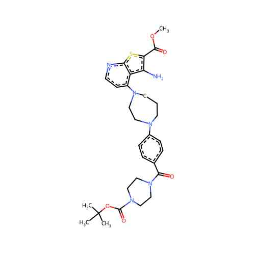 COC(=O)c1sc2nccc(N3CCCN(c4ccc(C(=O)N5CCN(C(=O)OC(C)(C)C)CC5)cc4)CC3)c2c1N